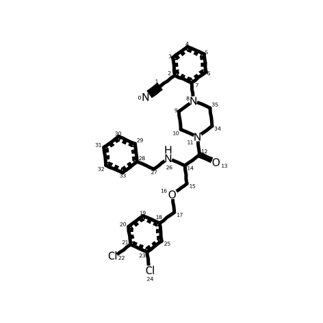 N#Cc1ccccc1N1CCN(C(=O)C(COCc2ccc(Cl)c(Cl)c2)NCc2ccccc2)CC1